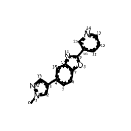 Cn1cc(-c2ccc3oc(-c4cccnc4)nc3c2)cn1